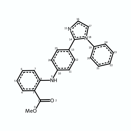 COC(=O)c1ccccc1Nc1ccc(-c2nccn2-c2ccccc2)cc1